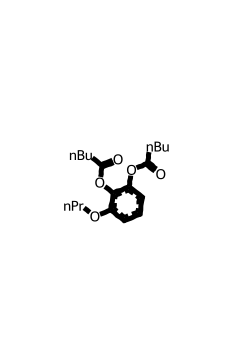 CCCCC(=O)Oc1cccc(OCCC)c1OC(=O)CCCC